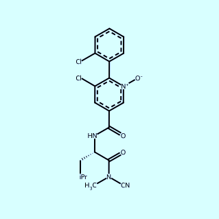 CC(C)C[C@H](NC(=O)c1cc(Cl)c(-c2ccccc2Cl)[n+]([O-])c1)C(=O)N(C)C#N